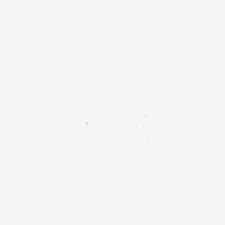 O=C(Nc1ccc(Oc2ccc3ncc(N4CCCC4)nc3c2)cc1)Nc1ccc(Cl)c(C(F)(F)F)c1